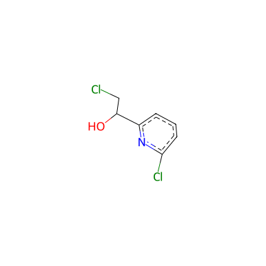 OC(CCl)c1cccc(Cl)n1